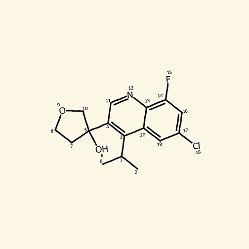 CC(C)c1c(C2(O)CCOC2)cnc2c(F)cc(Cl)cc12